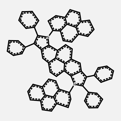 c1ccc(-c2c(-c3ccccc3)n(-c3ccc4ccc5cccc6ccc3c4c56)c3c2cc2ccc4c5c(ccc3c25)cc2c(-c3ccccc3)c(-c3ccccc3)n(-c3ccc5ccc6cccc7ccc3c5c67)c24)cc1